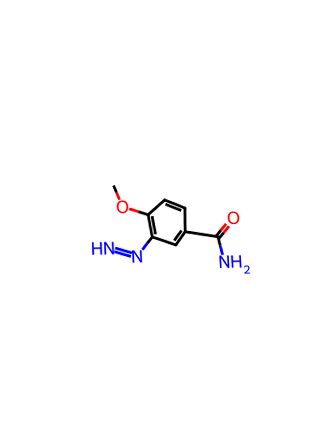 COc1ccc(C(N)=O)cc1N=N